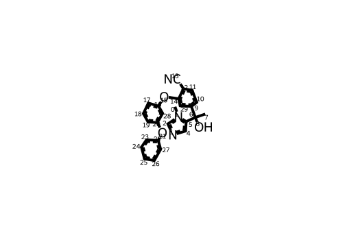 Cn1cncc1C(C)(O)c1ccc(C#N)c(Oc2cccc(Oc3ccccc3)c2)c1